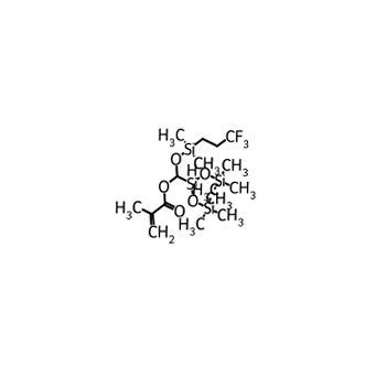 C=C(C)C(=O)OC(O[Si](C)(C)CCC(F)(F)F)[SiH](O[Si](C)(C)C)O[Si](C)(C)C